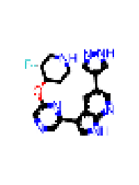 F[C@@H]1CNCC[C@H]1Oc1cncc(-c2c[nH]c3ncc(-c4cn[nH]c4)cc23)n1